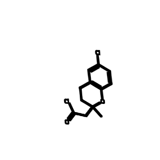 CC1(CC(=O)Cl)CCc2cc(Cl)ccc2O1